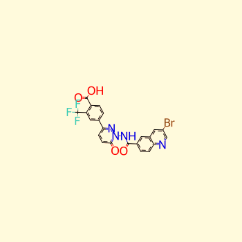 O=C(Nn1nc(-c2ccc(C(=O)O)c(C(F)(F)F)c2)ccc1=O)c1ccc2ncc(Br)cc2c1